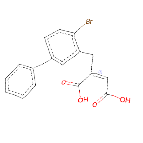 O=C(O)/C=C(/Cc1cc(-c2ccccc2)ccc1Br)C(=O)O